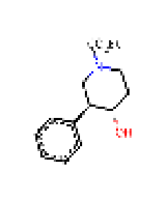 CCOC(=O)N1CC[C@H](O)[C@@H](c2ccccc2)C1